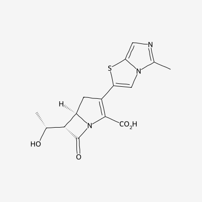 Cc1ncc2sc(C3=C(C(=O)O)N4C(=O)[C@H]([C@@H](C)O)[C@H]4C3)cn12